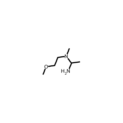 COCCN(C)C(C)N